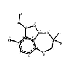 CC[C@H]1OB2OC(C)(C)COc3ccc(Cl)c1c32